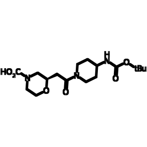 CC(C)(C)OC(=O)NC1CCN(C(=O)C[C@@H]2CN(C(=O)O)CCO2)CC1